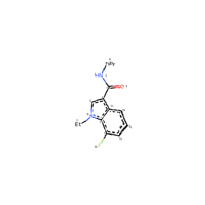 CCCNC(=O)c1cn(CC)c2c(F)cccc12